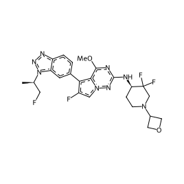 COc1nc(N[C@@H]2CCN(C3COC3)CC2(F)F)nn2cc(F)c(-c3ccc4nnn([C@H](C)CF)c4c3)c12